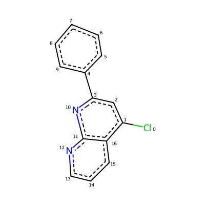 Clc1cc(-c2ccccc2)nc2ncccc12